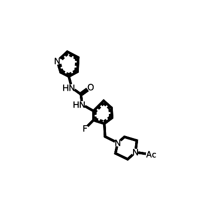 CC(=O)N1CCN(Cc2cccc(NC(=O)Nc3cccnc3)c2F)CC1